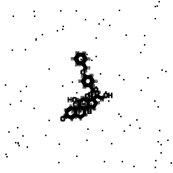 C[C@]12C=CC(=O)C=C1CC[C@H]1[C@@H]3CC[C@](OC(=O)c4ccc(OCc5ccccc5)cc4)(C(=O)CO)[C@@]3(C)C[C@H](O)[C@@]12F